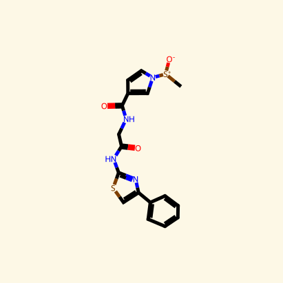 C[S+]([O-])n1ccc(C(=O)NCC(=O)Nc2nc(-c3ccccc3)cs2)c1